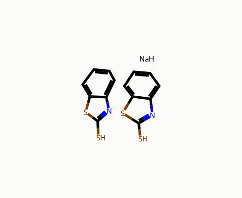 Sc1nc2ccccc2s1.Sc1nc2ccccc2s1.[NaH]